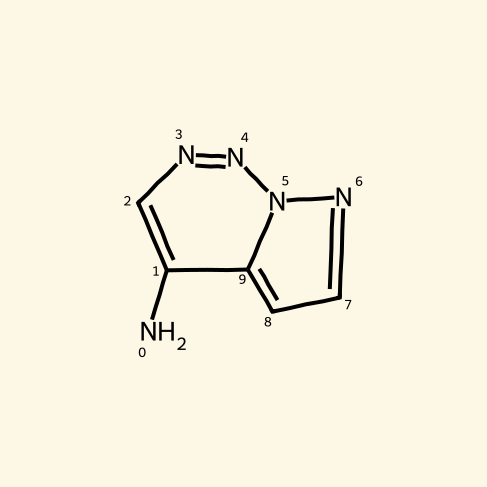 Nc1cnnn2nccc12